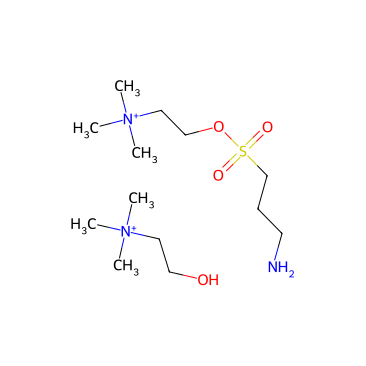 C[N+](C)(C)CCO.C[N+](C)(C)CCOS(=O)(=O)CCCN